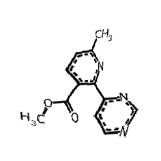 COC(=O)c1ccc(C)nc1-c1ccncn1